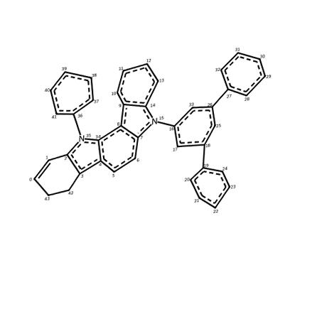 C1=Cc2c(c3ccc4c(c5ccccc5n4-c4cc(-c5ccccc5)cc(-c5ccccc5)c4)c3n2-c2ccccc2)CC1